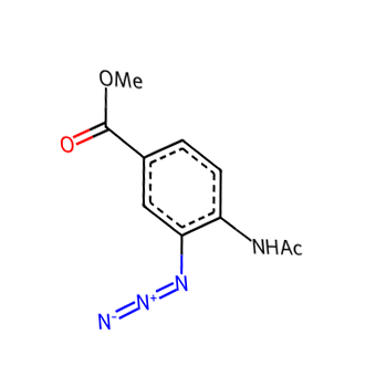 COC(=O)c1ccc(NC(C)=O)c(N=[N+]=[N-])c1